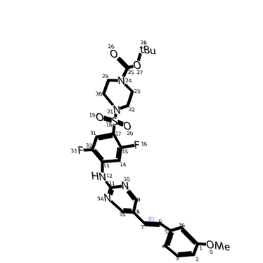 COc1cccc(/C=C/c2cnc(Nc3cc(F)c(S(=O)(=O)N4CCN(C(=O)OC(C)(C)C)CC4)cc3F)nc2)c1